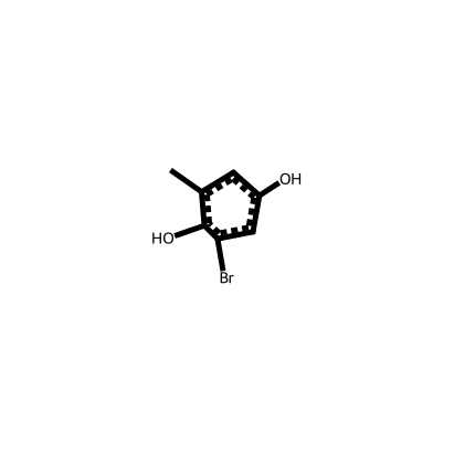 Cc1cc(O)cc(Br)c1O